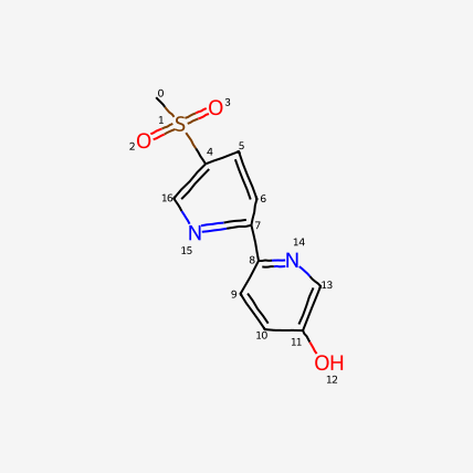 CS(=O)(=O)c1ccc(-c2ccc(O)cn2)nc1